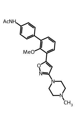 COc1c(-c2ccc(NC(C)=O)cc2)cccc1-c1cc(N2CCN(C)CC2)no1